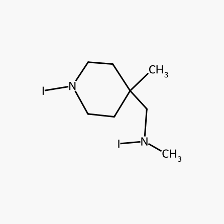 CN(I)CC1(C)CCN(I)CC1